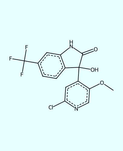 COc1cnc(Cl)cc1C1(O)C(=O)Nc2cc(C(F)(F)F)ccc21